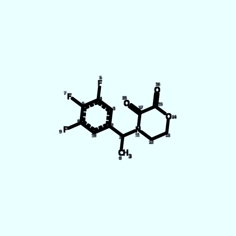 CC(c1cc(F)c(F)c(F)c1)N1CCOC(=O)C1=O